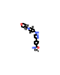 [2H]C([2H])(C1CCOCC1)N1C[C@H]2CC(Nc3ccc(-c4ccc(C(=O)NC)cc4)nn3)C[C@H]2C1